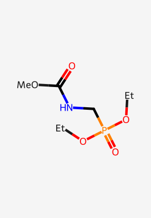 CCOP(=O)(CNC(=O)OC)OCC